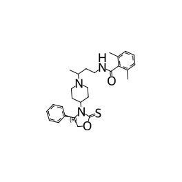 Cc1cccc(C)c1C(=O)NCCC(C)N1CCC(N2C(=S)OC[C@H]2c2ccccc2)CC1